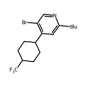 CC(C)(C)c1cc(C2CCC(C(F)(F)F)CC2)c(Br)cn1